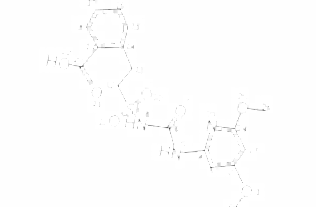 COc1cc(NC(=O)NS(=O)(=O)CCc2ccccc2C(=O)O)nc(OC)c1